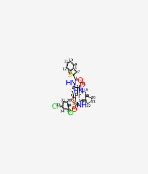 CC(C)C[C@H](NC(=O)c1cc2ccccc2s1)C(=O)NC[C@H]1CCC[C@H]1CNS(=O)(=O)c1ccc(Cl)cc1Cl